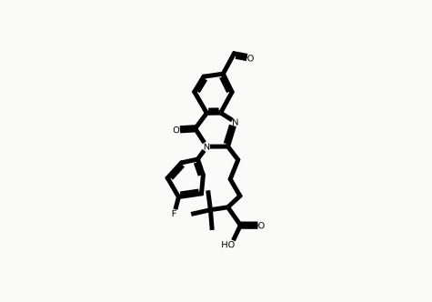 CC(C)(C)C(CCCc1nc2cc(C=O)ccc2c(=O)n1-c1ccc(F)cc1)C(=O)O